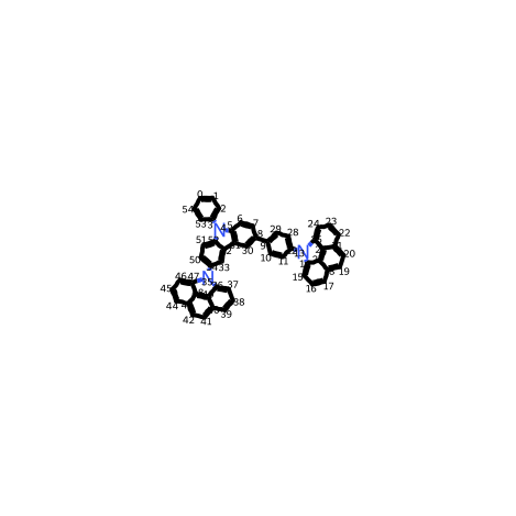 c1ccc(-n2c3ccc(-c4ccc(-n5c6cccc7ccc8cccc5c8c76)cc4)cc3c3cc(-n4c5cccc6ccc7cccc4c7c65)ccc32)cc1